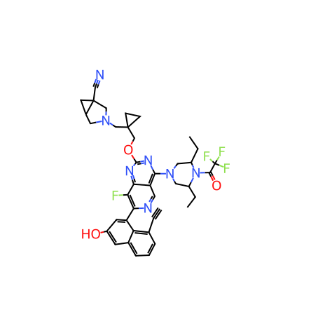 C#Cc1cccc2cc(O)cc(-c3ncc4c(N5CC(CC)N(C(=O)C(F)(F)F)C(CC)C5)nc(OCC5(CN6CC7CC7(C#N)C6)CC5)nc4c3F)c12